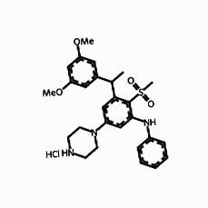 COc1cc(OC)cc(C(C)c2cc(N3CCNCC3)cc(Nc3ccccc3)c2S(C)(=O)=O)c1.Cl